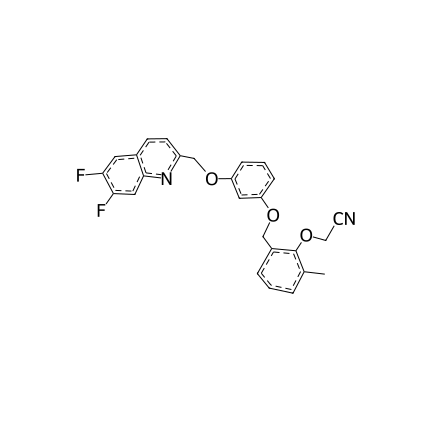 Cc1cccc(COc2cccc(OCc3ccc4cc(F)c(F)cc4n3)c2)c1OCC#N